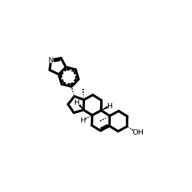 C[C@]12CC[C@H]3[C@@H](CC=C4C[C@@H](O)CC[C@@]43C)[C@@H]1CC[C@@H]2c1ccc2c(c1)CN=C2